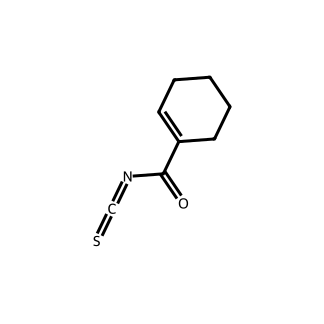 O=C(N=C=S)C1=CCCCC1